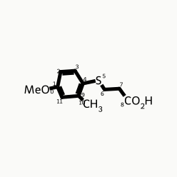 COc1ccc(SCCC(=O)O)c(C)c1